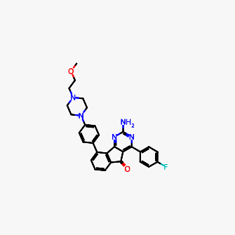 COCCN1CCN(c2ccc(-c3cccc4c3-c3nc(N)nc(-c5ccc(F)cc5)c3C4=O)cc2)CC1